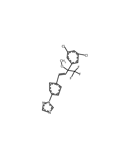 COC(C=Cc1ccc(-n2cncn2)cc1)(c1cc(Cl)cc(Cl)c1)C(F)(F)F